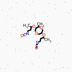 CC(CCN=C=O)O[C@@H]1COC[C@H](OC(C)CCN=C=O)C(C)OC1